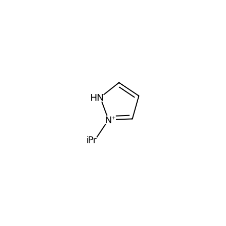 CC(C)[n+]1ccc[nH]1